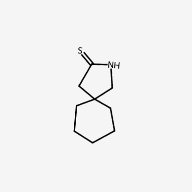 S=C1CC2(CCCCC2)CN1